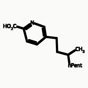 CCCCCC(C)CCc1ccc(C(=O)O)nc1